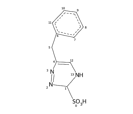 O=S(=O)(O)C1N=NC(Cc2ccccc2)=CN1